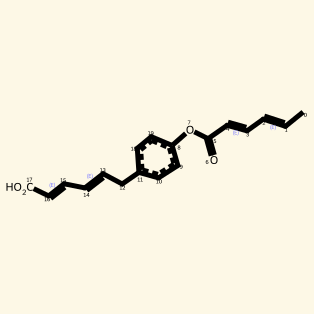 C/C=C/C=C/C(=O)Oc1ccc(C/C=C/C=C/C(=O)O)cc1